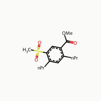 CCCc1cc(CCC)c(S(C)(=O)=O)cc1C(=O)OC